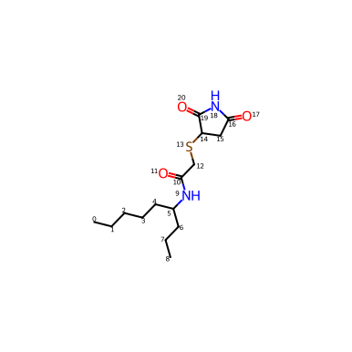 CCCCCC(CCC)NC(=O)CSC1CC(=O)NC1=O